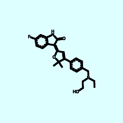 CCN(CCO)Cc1ccc(C2=C/C(=C3\C(=O)Nc4cc(F)ccc43)OC2(C)C)cc1